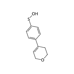 OSc1ccc(C2=CCOCC2)cc1